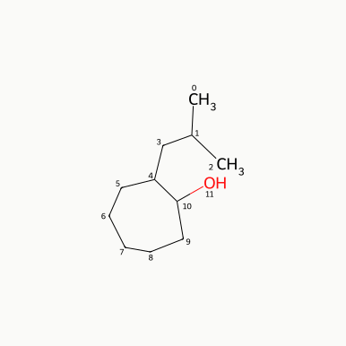 CC(C)CC1CCCCCC1O